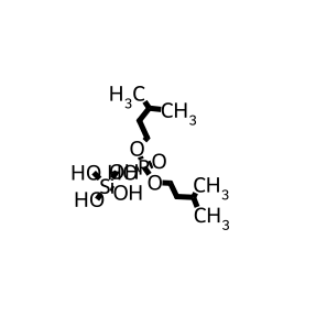 CC(C)CCOP(=O)(O)OCCC(C)C.O[Si](O)(O)O